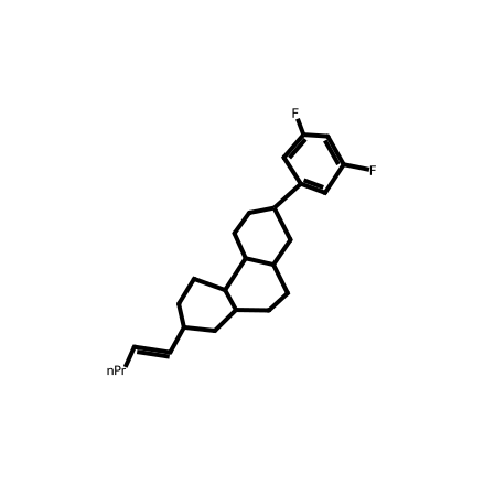 CCC/C=C/C1CCC2C(CCC3CC(c4cc(F)cc(F)c4)CCC32)C1